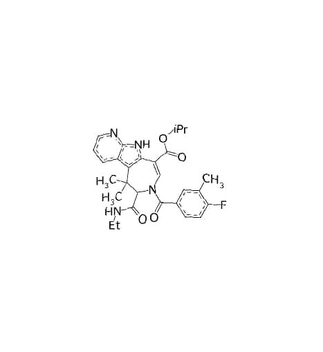 CCNC(=O)C1N(C(=O)c2ccc(F)c(C)c2)C=C(C(=O)OC(C)C)c2[nH]c3ncccc3c2C1(C)C